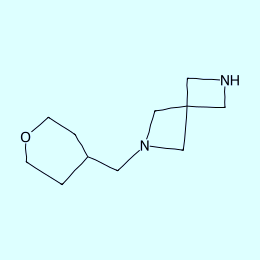 C1CC(CN2CC3(CNC3)C2)CCO1